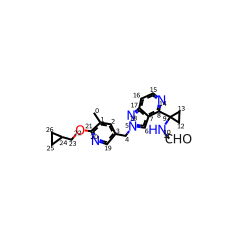 Cc1cc(Cn2cc3c(C4(NC=O)CC4)nccc3n2)cnc1OCC1CC1